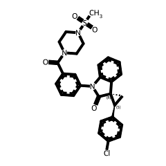 CS(=O)(=O)N1CCN(C(=O)c2cccc(N3C(=O)[C@@]4(C[C@H]4c4ccc(Cl)cc4)c4ccccc43)c2)CC1